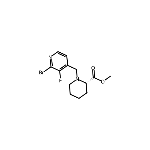 COC(=O)[C@@H]1CCCCN1Cc1ccnc(Br)c1F